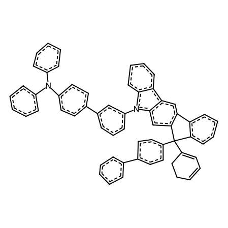 C1=CCCC(C2(c3ccc(-c4ccccc4)cc3)c3ccccc3-c3cc4c5ccccc5n(-c5cccc(-c6ccc(N(c7ccccc7)c7ccccc7)cc6)c5)c4cc32)=C1